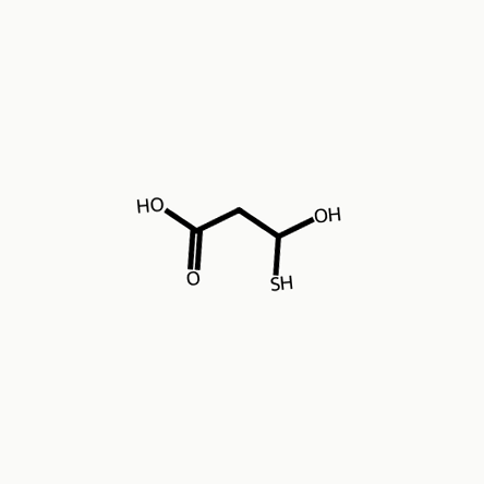 O=C(O)CC(O)S